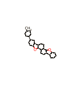 Cc1ccc(-c2ccc3oc4c(ccc5c4ccc4c6ccccc6oc45)c3c2)cc1